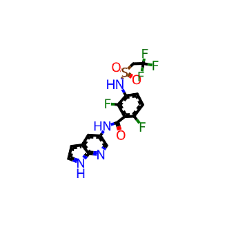 O=C(Nc1cnc2[nH]ccc2c1)c1c(F)ccc(NS(=O)(=O)CC(F)(F)F)c1F